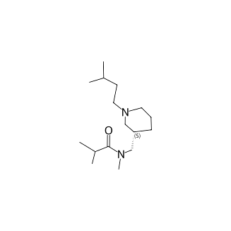 CC(C)CCN1CCC[C@H](CN(C)C(=O)C(C)C)C1